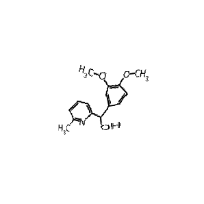 COc1ccc(C(O)c2cccc(C)n2)cc1OC